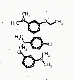 CCOc1cccc(N(C)C)c1.CN(C)c1ccc(Cl)cc1.CN(C)c1cccc(Cl)c1